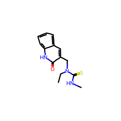 CCN(Cc1cc2ccccc2[nH]c1=O)C(=S)NC